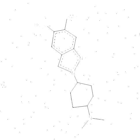 COc1cc2nn(C3CCC(N(C)C)CC3)cc2cc1C(=O)O